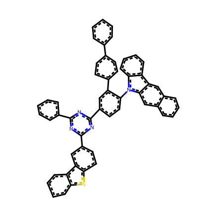 c1ccc(-c2ccc(-c3cc(-c4nc(-c5ccccc5)nc(-c5ccc6sc7ccccc7c6c5)n4)ccc3-n3c4ccccc4c4cc5ccccc5cc43)cc2)cc1